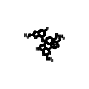 Cc1cc2cc(F)cc(OC3(c4c[nH]c5nc(N)nc([C@H]6CC[C@@H](CN)OC6)c45)C=CC(C=O)=C(Cl)C3)c2o1